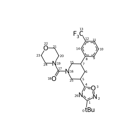 CC(C)(C)c1noc(C2CC(c3cccc(C(F)(F)F)c3)CN(C(=O)N3CCOCC3)C2)n1